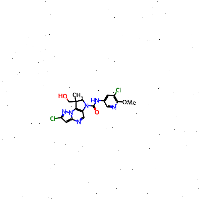 COc1ncc(NC(=O)N2CC(C)(CO)c3c2cnc2cc(Cl)nn32)cc1Cl